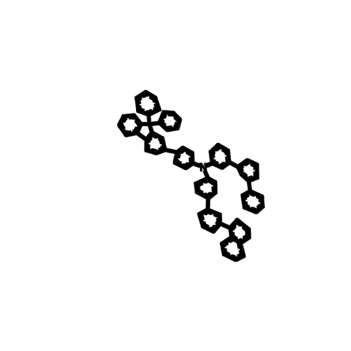 c1ccc(-c2cccc(-c3cccc(N(c4ccc(-c5cccc(-c6cccc7ccccc67)c5)cc4)c4ccc(-c5ccc6c(c5)C(c5ccccc5)(c5ccccc5)c5ccccc5-6)cc4)c3)c2)cc1